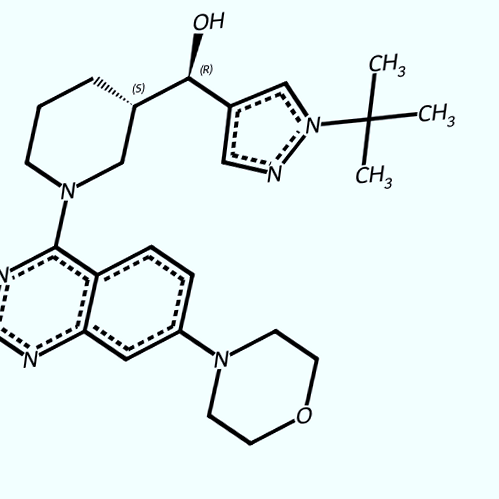 CC(C)(C)n1cc([C@H](O)[C@H]2CCCN(c3nnnc4cc(N5CCOCC5)ccc34)C2)cn1